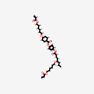 C=CC(=O)OCCCCCCOC(CCC)CCCC(=O)Oc1ccc(OC(=O)C2CCC(OCCCCCCOC(=O)C=C)CC2)cc1